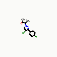 COC(=O)C(C(C)C)n1cc(Br)c(-c2ccc(F)cc2)n1